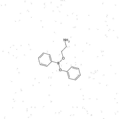 NCCOB(Oc1ccccc1)c1ccccc1